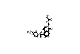 COC(=O)OCn1ccc2c(S(=O)(=O)N3CCC(N)C3)cccc2c1=O